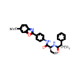 COc1ccc2nc(-c3ccc(NC(=O)[C@H](CC(C)C)NC(=O)[C@@H](C)c4ccccc4)cc3)oc2c1